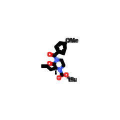 C=CC[C@@]1(C)C(=O)N(C(=O)c2ccc(OC)cc2)CCN1C(=O)OC(C)(C)C